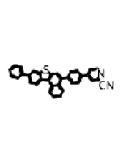 N#Cc1cc(-c2ccc(-c3cc4sc5cc(-c6ccccc6)ccc5c4c4ccccc34)cc2)ccn1